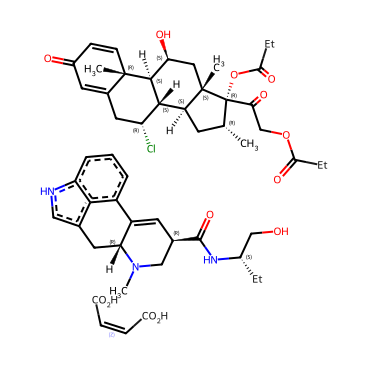 CCC(=O)OCC(=O)[C@@]1(OC(=O)CC)[C@H](C)C[C@H]2[C@H]3[C@H]([C@@H](O)C[C@@]21C)[C@@]1(C)C=CC(=O)C=C1C[C@H]3Cl.CC[C@@H](CO)NC(=O)[C@@H]1C=C2c3cccc4[nH]cc(c34)C[C@H]2N(C)C1.O=C(O)/C=C\C(=O)O